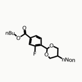 CCCCCCCCCC1COC(c2ccc(C(=O)OCCCC)cc2F)OC1